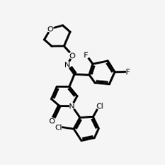 O=c1ccc(/C(=N/OC2CCOCC2)c2ccc(F)cc2F)cn1-c1c(Cl)cccc1Cl